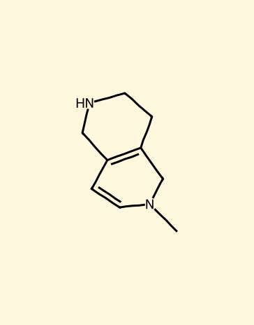 CN1C=CC2=C(CCNC2)C1